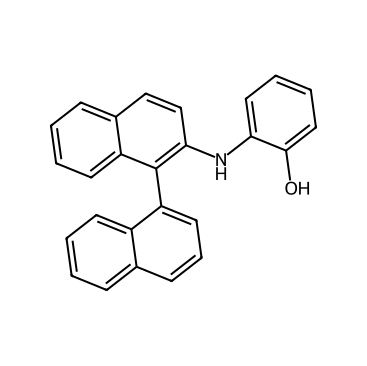 Oc1ccccc1Nc1ccc2ccccc2c1-c1cccc2ccccc12